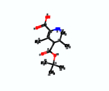 CC(=C(N)C(=O)O)C(C(=O)OC(C)(C)C)C(C)C